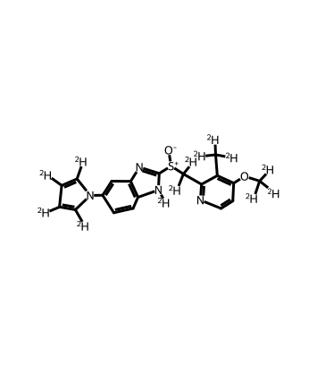 [2H]c1c([2H])c([2H])n(-c2ccc3c(c2)nc([S+]([O-])C([2H])([2H])c2nccc(OC([2H])([2H])[2H])c2C([2H])([2H])[2H])n3[2H])c1[2H]